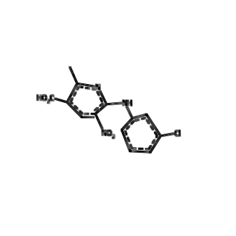 Cc1nc(Nc2cccc(Cl)c2)c([N+](=O)[O-])cc1C(=O)O